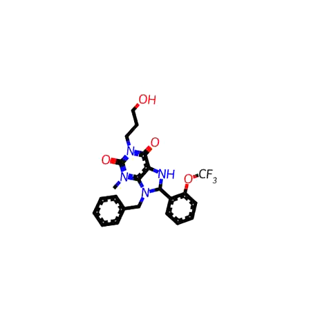 Cn1c2c(c(=O)n(CCCO)c1=O)NC(c1ccccc1OC(F)(F)F)N2Cc1ccccc1